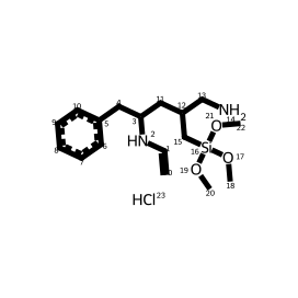 C=CNC(Cc1ccccc1)CC(CN)C[Si](OC)(OC)OC.Cl